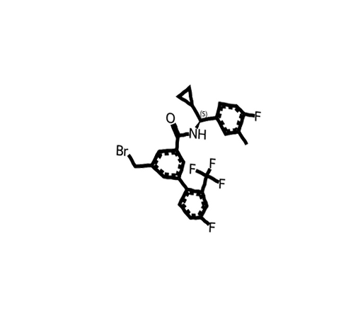 Cc1cc([C@@H](NC(=O)c2cc(CBr)cc(-c3ccc(F)cc3C(F)(F)F)c2)C2CC2)ccc1F